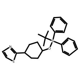 CC(C)(C)[Si](OC1CCC(c2nccs2)CC1)(c1ccccc1)c1ccccc1